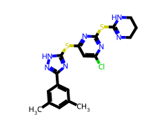 Cc1cc(C)cc(-c2n[nH]c(Sc3cc(Cl)nc(SC4=NCCCN4)n3)n2)c1